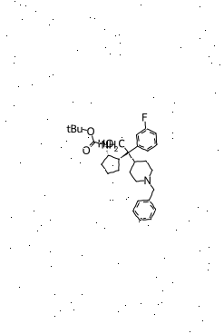 CC(C)(C)OC(=O)N[C@H]1CCC[C@@H]1C(C(=O)O)(c1cccc(F)c1)C1CCN(Cc2ccccc2)CC1